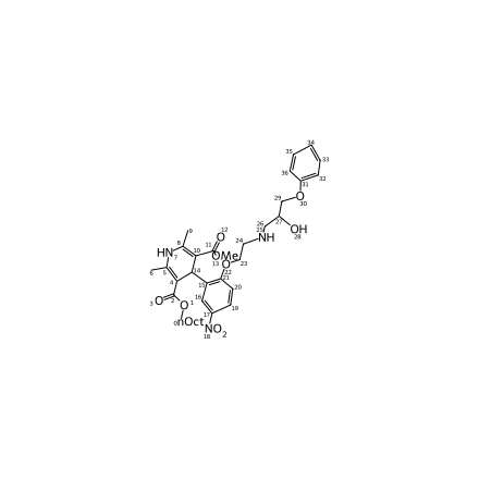 CCCCCCCCOC(=O)C1=C(C)NC(C)=C(C(=O)OC)C1c1cc([N+](=O)[O-])ccc1OCCNCC(O)COc1ccccc1